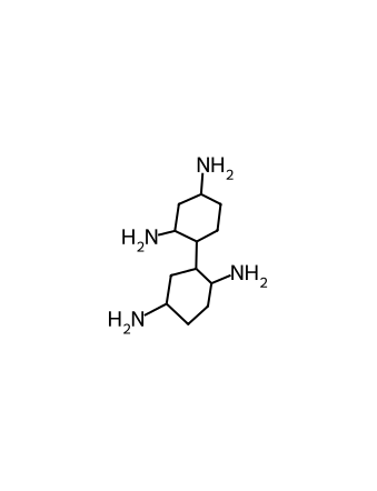 NC1CCC(C2CC(N)CCC2N)C(N)C1